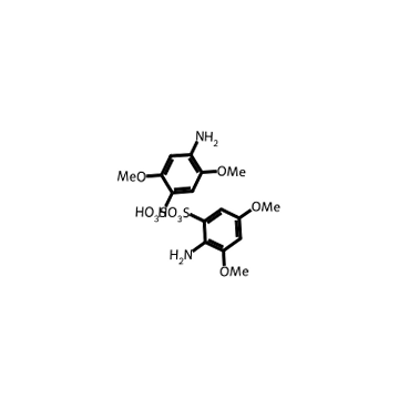 COc1cc(OC)c(N)c(S(=O)(=O)O)c1.COc1cc(S(=O)(=O)O)c(OC)cc1N